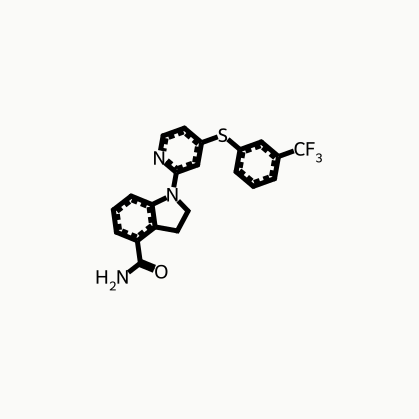 NC(=O)c1cccc2c1CCN2c1cc(Sc2cccc(C(F)(F)F)c2)ccn1